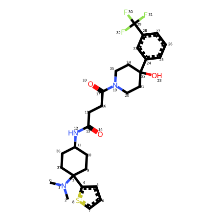 CN(C)C1(c2cccs2)CCC(NC(=O)CCC(=O)N2CCC(O)(c3cccc(C(F)(F)F)c3)CC2)CC1